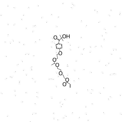 C=CC(=O)OCCOCCOC(C)OCCOc1ccc(C(=O)C(C)(C)O)cc1